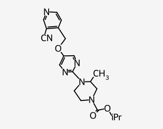 CC(C)OC(=O)N1CCN(c2ncc(OCc3ccncc3C#N)cn2)C(C)C1